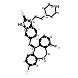 O=c1[nH]c2cc(/C=C3/c4ccc(F)cc4OCc4c(F)cccc43)ccc2n1CCN1CCNCC1